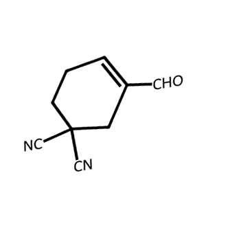 N#CC1(C#N)CCC=C(C=O)C1